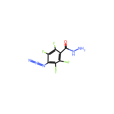 [N-]=[N+]=Nc1c(F)c(F)c(C(=O)NN)c(F)c1F